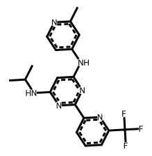 Cc1cc(Nc2cc(NC(C)C)nc(-c3cccc(C(F)(F)F)n3)n2)ccn1